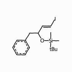 CC(C)(C)[Si](C)(C)OC(C=CI)Cc1ccccc1